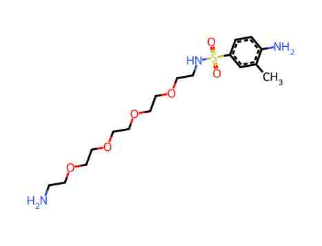 Cc1cc(S(=O)(=O)NCCOCCOCCOCCOCCN)ccc1N